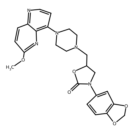 COc1ccc2nccc(N3CCN(CC4CN(c5ccc6c(c5)OCO6)C(=O)O4)CC3)c2n1